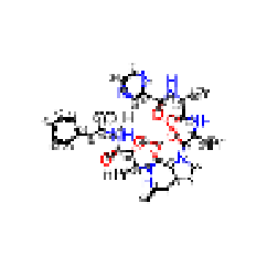 C=CCC1CCN(C(=O)C(NC(=O)[C@@H](NC(=O)c2cnccn2)C(C)C)C(C)C)[C@@H]1C(=O)NC(CCC)C(=O)C(=O)N[C@@H](Cc1ccccc1)C(=O)O